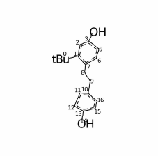 CC(C)(C)c1cc(O)ccc1CCc1ccc(O)cc1